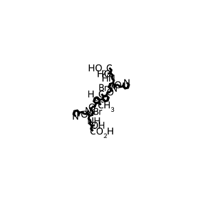 Cc1c(COc2nc(OCc3cccnc3)c(CNCC(O)CC(=O)O)cc2Br)cccc1-c1cccc(COc2nc(OCc3cccnc3)c(CNCC(O)CC(=O)O)cc2Br)c1C